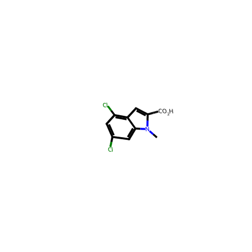 Cn1c(C(=O)O)cc2c(Cl)cc(Cl)cc21